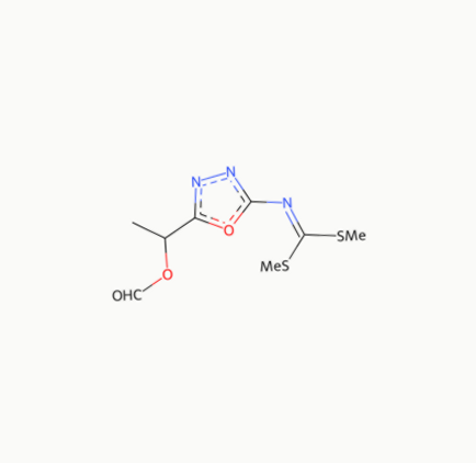 CSC(=Nc1nnc(C(C)OC=O)o1)SC